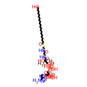 CC(C)(COP(=O)(O)OP(=O)(O)OC[C@H]1O[C@@H](n2cnc3c(N)ncnc32)[C@H](O)[C@@H]1OP(=O)(O)O)[C@@H](O)C(=O)NCCC(=O)NCCSC(=O)CCCCCCCCCCCCCCCCCCCCCO